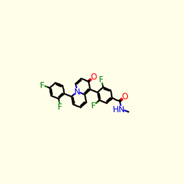 CNC(=O)c1cc(F)c(-c2c(=O)ccn3c(-c4ccc(F)cc4F)cccc23)c(F)c1